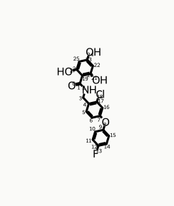 O=C(NCc1ccc(Oc2ccc(F)cc2)cc1Cl)c1c(O)cc(O)cc1O